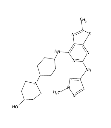 Cc1nc2c(NC3CCC(N4CCC(O)CC4)CC3)nc(Nc3cnn(C)c3)nc2s1